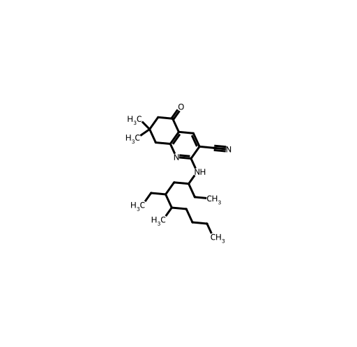 CCCCC(C)C(CC)CC(CC)Nc1nc2c(cc1C#N)C(=O)CC(C)(C)C2